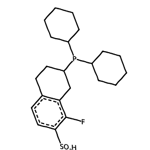 O=S(=O)(O)c1ccc2c(c1F)CC(P(C1CCCCC1)C1CCCCC1)CC2